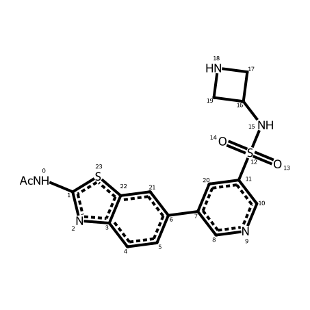 CC(=O)Nc1nc2ccc(-c3cncc(S(=O)(=O)NC4CNC4)c3)cc2s1